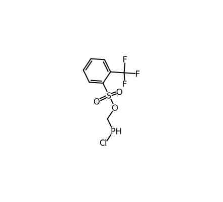 O=S(=O)(OCPCl)c1ccccc1C(F)(F)F